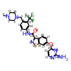 CN1CCN(Cc2ccc(NC(=O)c3nsc4cc(Oc5ccnc(N)n5)ccc34)cc2C(F)(F)F)CC1